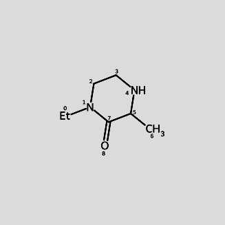 CCN1CCNC(C)C1=O